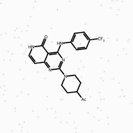 CC(=O)C1CCN(c2nc(Nc3ccc(C(F)(F)F)cc3)c3c(=O)[nH]ccc3n2)CC1